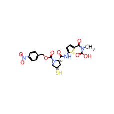 CN(C(=O)O)C(=O)c1ccc(NC(=O)[C@@H]2C[C@H](S)CN2C(=O)OCc2ccc([N+](=O)[O-])cc2)s1